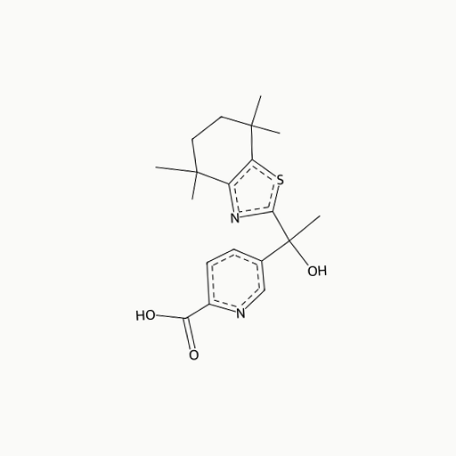 CC1(C)CCC(C)(C)c2sc(C(C)(O)c3ccc(C(=O)O)nc3)nc21